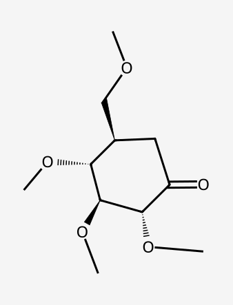 COC[C@H]1CC(=O)[C@H](OC)[C@@H](OC)[C@@H]1OC